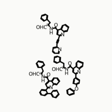 O=C[C@H](Cc1ccccc1)NC(=O)c1cc(-c2ccc(Oc3ccccc3)cc2)nc2ccccc12.O=C[C@H](Cc1ccccc1)NC(=O)c1cc(-c2ccccc2-c2ccccc2)nc2ccccc12.O=C[C@H](Cc1ccccc1)NC(=O)c1cc(C#Cc2ccccn2)nc2ccccc12